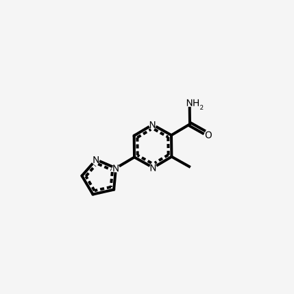 Cc1nc(-n2cccn2)cnc1C(N)=O